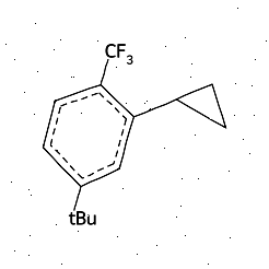 CC(C)(C)c1ccc(C(F)(F)F)c(C2CC2)c1